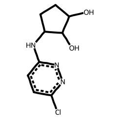 OC1CCC(Nc2ccc(Cl)nn2)C1O